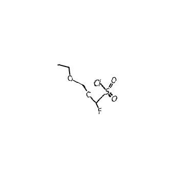 CCOCCC(F)S(=O)(=O)Cl